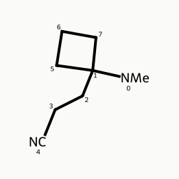 CNC1(CCC#N)CCC1